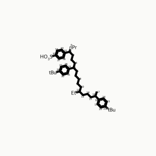 CCCC(CCCC(CCCCCC(CC)CCCC(C)c1ccc(C(C)(C)C)cc1)c1ccc(C(C)(C)C)cc1)c1ccc(S(=O)(=O)O)cc1